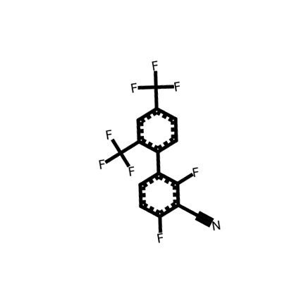 N#Cc1c(F)ccc(-c2ccc(C(F)(F)F)cc2C(F)(F)F)c1F